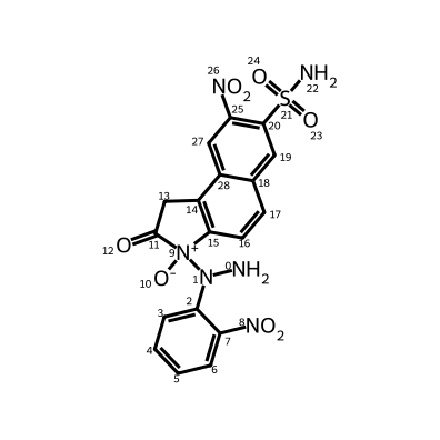 NN(c1ccccc1[N+](=O)[O-])[N+]1([O-])C(=O)Cc2c1ccc1cc(S(N)(=O)=O)c([N+](=O)[O-])cc21